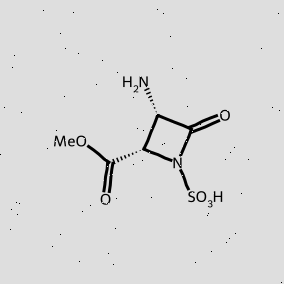 COC(=O)[C@@H]1[C@H](N)C(=O)N1S(=O)(=O)O